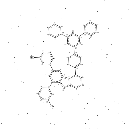 N#Cc1cccc(-c2cc(-c3cccc(C#N)c3)c3oc4cccc(C5=CC=C(c6nc(-c7ccccc7)nc(-c7ccccc7)n6)CC5)c4c3c2)c1